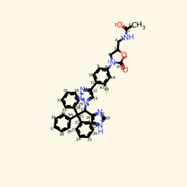 CC(=O)NCC1CN(c2ccc(-c3cn(C(c4c[nH]cn4)C(c4ccccc4)(c4ccccc4)c4ccccc4)nn3)c(F)c2)C(=O)O1